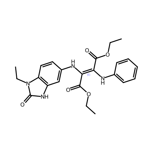 CCOC(=O)/C(Nc1ccccc1)=C(\Nc1ccc2c(c1)[nH]c(=O)n2CC)C(=O)OCC